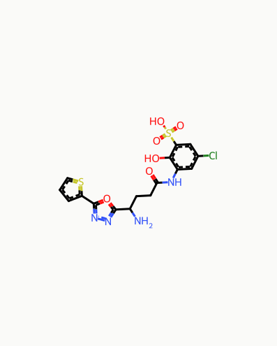 NC(CCC(=O)Nc1cc(Cl)cc(S(=O)(=O)O)c1O)c1nnc(-c2cccs2)o1